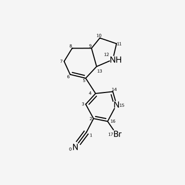 N#Cc1cc(C2=CCCC3CCNC23)cnc1Br